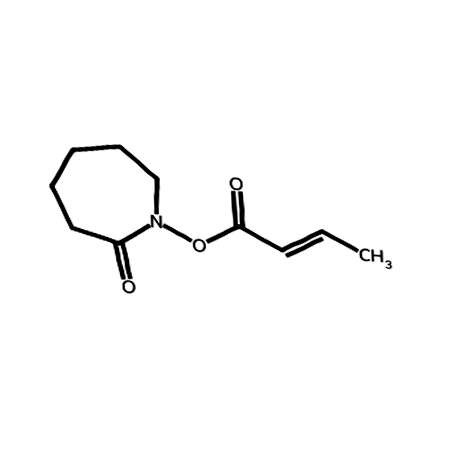 CC=CC(=O)ON1CCCCCC1=O